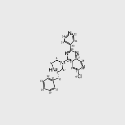 Clc1cc2c(N3CCN[C@@H](Cc4ccccc4)C3)nc(-c3ccncc3)nc2cn1